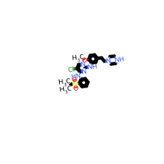 COc1ccc(CCN2CCNCC2)cc1Nc1ncc(Cl)c(Nc2ccccc2S(=O)(=O)C(C)C)n1